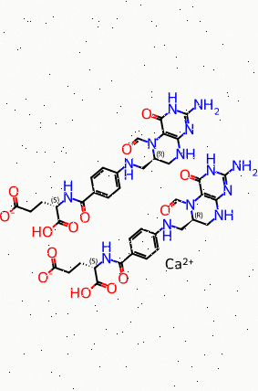 Nc1nc2c(c(=O)[nH]1)N(C=O)[C@H](CNc1ccc(C(=O)N[C@@H](CCC(=O)[O-])C(=O)O)cc1)CN2.Nc1nc2c(c(=O)[nH]1)N(C=O)[C@H](CNc1ccc(C(=O)N[C@@H](CCC(=O)[O-])C(=O)O)cc1)CN2.[Ca+2]